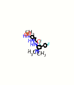 CN(C)c1cc(NC(=O)c2cc3ccc(NS(C)(=O)=O)cc3[nH]2)c(F)c(-c2ccc(F)cc2)c1